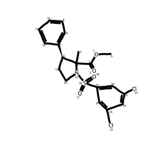 COC(=O)C1(C)[C@H](c2ccccc2)CCN1S(=O)(=O)c1cc(Cl)cc(Cl)c1